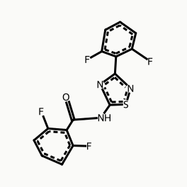 O=C(Nc1nc(-c2c(F)cccc2F)ns1)c1c(F)cccc1F